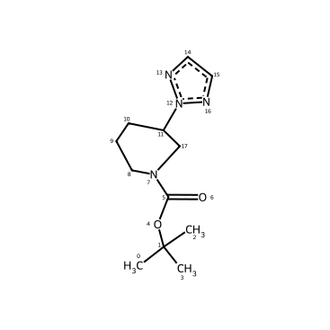 CC(C)(C)OC(=O)N1CCCC(n2nccn2)C1